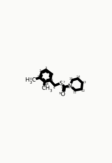 Cc1cccc(CSC(=O)N2CCCCC2)c1C